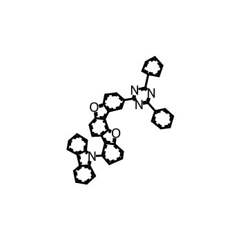 c1ccc(-c2nc(-c3ccccc3)nc(-c3ccc4oc5ccc6c(oc7cccc(-n8c9ccccc9c9ccccc98)c76)c5c4c3)n2)cc1